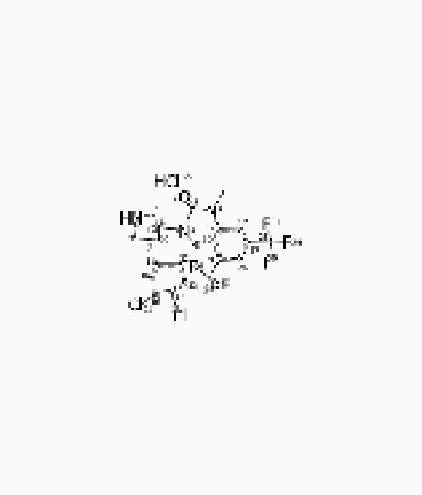 CN(C(=O)N(C)[C@@H]1CNC[C@H]1c1ccc(Cl)c(Cl)c1)c1cc(C(F)(F)F)cc(C(F)(F)F)c1.Cl